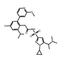 COc1cc(-c2cc(F)cc(C(C)C)c2CC(=O)NS(=O)(=O)c2cc(C(C)N(C)C)n(C3CC3)n2)ccn1